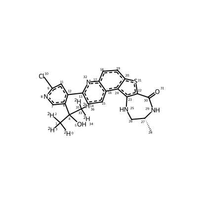 [2H]C([2H])([2H])C(O)(c1cnc(Cl)cc1-c1ccc2c(ccc3sc4c(c32)NC[C@@H](C)NC4=O)n1)C([2H])([2H])[2H]